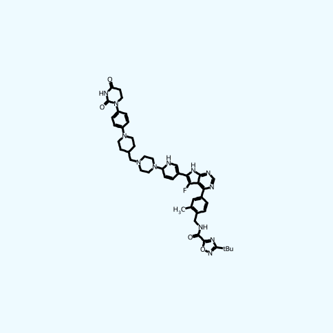 Cc1cc(-c2ncnc3[nH]c(C4=CNC(N5CCN(CC6CCN(c7ccc(N8CCC(=O)NC8=O)cc7)CC6)CC5)C=C4)c(F)c23)ccc1CNC(=O)c1nc(C(C)(C)C)no1